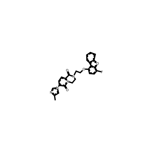 Cc1cn(-c2ccc3n(c2=O)CCN(CCOc2ccc(F)c4oc5ccccc5c24)C3=O)cn1